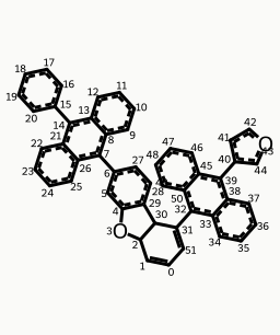 C1=CC2Oc3cc(-c4c5ccccc5c(-c5ccccc5)c5ccccc45)ccc3C2C(c2c3ccccc3c(-c3ccoc3)c3ccccc23)=C1